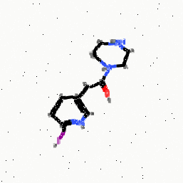 O=C(Cc1ccc(I)nc1)N1CCNCC1